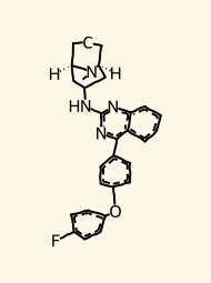 CN1[C@@H]2CCC[C@H]1CC(Nc1nc(-c3ccc(Oc4ccc(F)cc4)cc3)c3ccccc3n1)C2